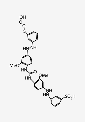 COc1cc(NNc2cccc(SOOO)c2)ccc1NC(=O)Nc1ccc(NNc2cccc(S(=O)(=O)O)c2)cc1OC